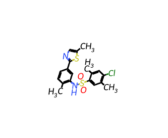 Cc1cnc(-c2ccc(C)c(NS(=O)(=O)c3cc(C)c(Cl)cc3C)c2)s1